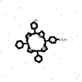 O=C(O)c1ccc(-c2c3nc(c(-c4ccccc4)c4ccc([nH]4)c(-c4ccccc4)c4nc(c(-c5ccccc5)c5ccc2[nH]5)C=C4)C=C3)cc1.[Zn]